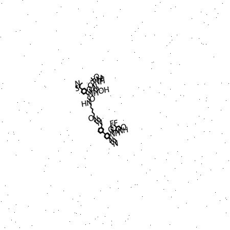 Cc1ncsc1-c1ccc([C@H](CC(=O)NCCCCCC(=O)N2CCN(Cc3cccc(-c4ccc(N5CCN(C)CC5)c(NC(=O)c5c[nH]c(=O)cc5C(F)(F)F)c4)c3)CC2)NC(=O)[C@@H]2C[C@@H](O)CN2C(=O)[C@@H](NC(=O)C2(F)CC2)C(C)(C)C)cc1